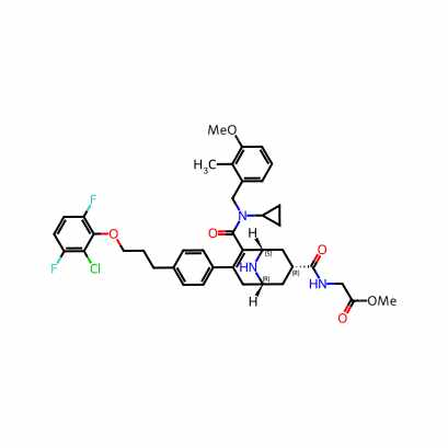 COC(=O)CNC(=O)[C@@H]1C[C@@H]2CC(c3ccc(CCCOc4c(F)ccc(F)c4Cl)cc3)=C(C(=O)N(Cc3cccc(OC)c3C)C3CC3)[C@H](C1)N2